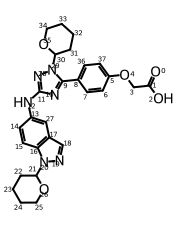 O=C(O)COc1ccc(-c2nc(Nc3ccc4c(cnn4C4CCCCO4)c3)nn2C2CCCCO2)cc1